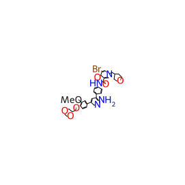 COc1cc(-c2cnc(N)c(-c3ccc(NC(=O)c4cn(CC5CCOCC5)cc(Br)c4=O)cc3)c2)ccc1OCC1COCCO1